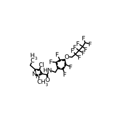 CCc1nn(C)c(C(=O)NCc2c(F)c(F)c(OCC(F)(F)C(F)(F)C(F)(F)C(F)F)c(F)c2F)c1Cl